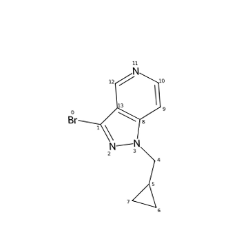 Brc1nn(CC2CC2)c2ccncc12